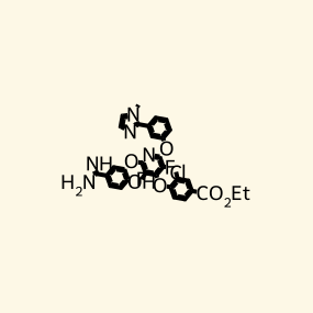 CCOC(=O)c1ccc(Oc2c(F)c(Oc3cccc(-c4nccn4C)c3)nc(Oc3cc(C(=N)N)ccc3O)c2F)c(Cl)c1